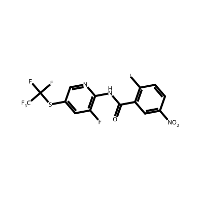 O=C(Nc1ncc(SC(F)(F)C(F)(F)F)cc1F)c1cc([N+](=O)[O-])ccc1I